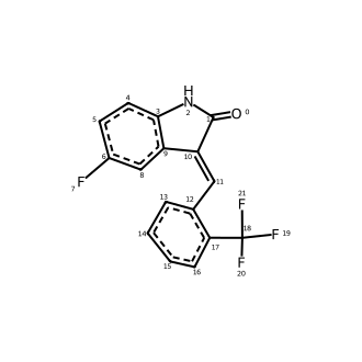 O=C1Nc2ccc(F)cc2/C1=C\c1ccccc1C(F)(F)F